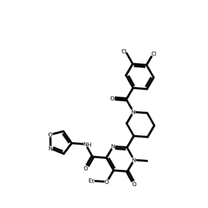 CCOc1c(C(=O)Nc2cnoc2)nc(C2CCCN(C(=O)c3ccc(Cl)c(Cl)c3)C2)n(C)c1=O